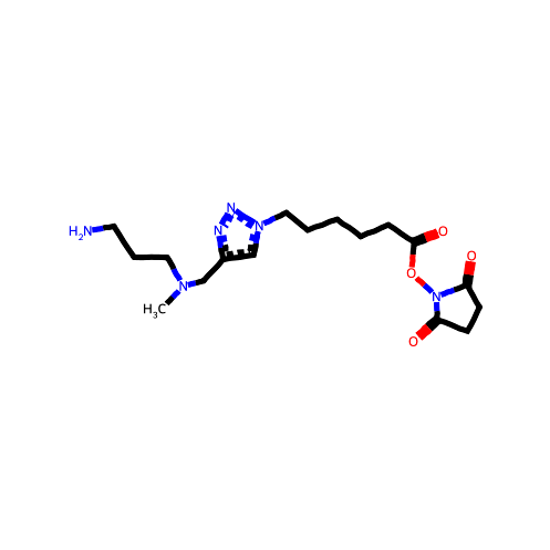 CN(CCCN)Cc1cn(CCCCCC(=O)ON2C(=O)CCC2=O)nn1